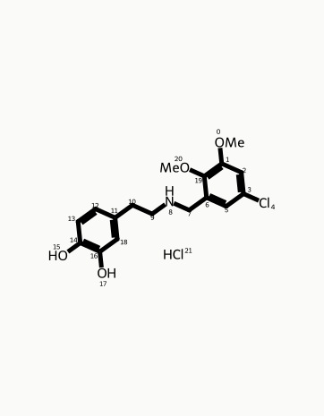 COc1cc(Cl)cc(CNCCc2ccc(O)c(O)c2)c1OC.Cl